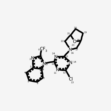 FC(F)(F)c1nc2ccccc2n1-c1nc(Cl)nc(N2CC3CCC(C2)O3)n1